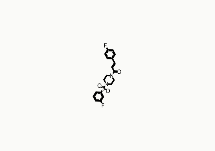 O=C(C=Cc1ccc(F)cc1)N1CCN(S(=O)(=O)c2cccc(F)c2)CC1